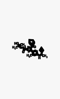 Cc1cc(N[C@H](C)C2CCC2)ncc1-c1sc(C(=O)NCC(C)(C)O)nc1C(=O)N1C2CCC1CC2